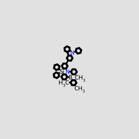 Cc1cc(C)c(B2c3ccccc3N3c4cc(-c5ccc6c(c5)c5ccccc5n6-c5ccccc5)ccc4[Si](c4ccccc4)(c4ccccc4)c4cccc2c43)c(C)c1